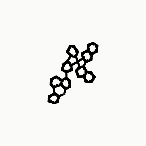 c1ccc2c(c1)Oc1ccc(-c3ccc4c(c3)C3(c5ccccc5-4)c4cc5ccccc5cc4-c4c3ccc3ccccc43)c3cccc-2c13